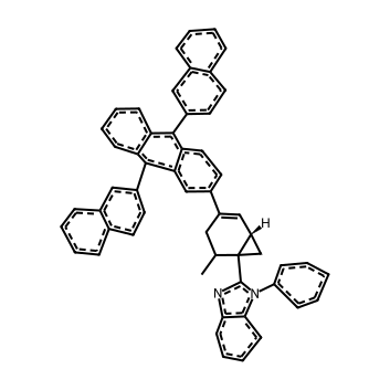 CC1CC(c2ccc3c(-c4ccc5ccccc5c4)c4ccccc4c(-c4ccc5ccccc5c4)c3c2)=C[C@@H]2CC12c1nc2ccccc2n1-c1ccccc1